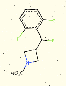 O=C(O)N1CC(C(F)c2c(F)cccc2F)C1